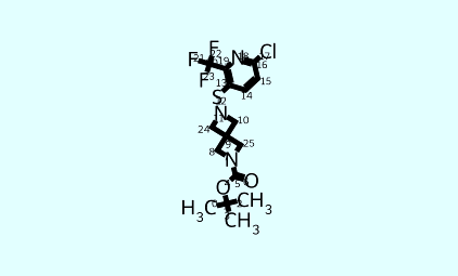 CC(C)(C)OC(=O)N1CC2(CN(Sc3ccc(Cl)nc3C(F)(F)F)C2)C1